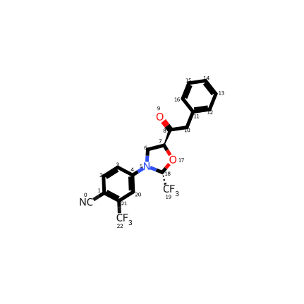 N#Cc1ccc(N2C[C@@H](C(=O)Cc3ccccc3)O[C@@H]2C(F)(F)F)cc1C(F)(F)F